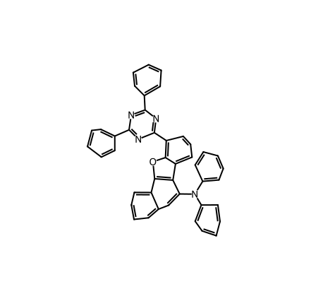 c1ccc(-c2nc(-c3ccccc3)nc(-c3cccc4c3oc3c5ccccc5cc(N(c5ccccc5)c5ccccc5)c43)n2)cc1